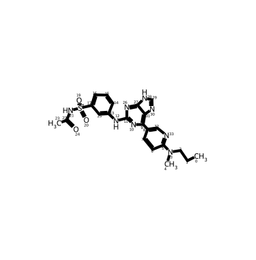 CCCN(C)c1ccc(-c2nc(Nc3cccc(S(=O)(=O)NC(C)=O)c3)nc3[nH]cnc23)cn1